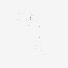 COc1ccc(C(C#N)(CCCCNCCc2c(C(=O)O)cc(OC)c(OC)c2C(C)C)C(C)C)cc1OC